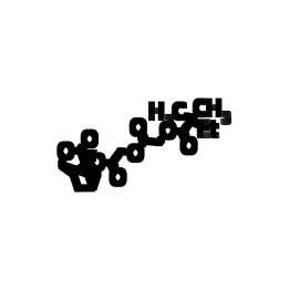 CCC(C)(C)C(=O)OCC(=O)OCC(=O)OC1C2CC3C1OC(=O)C3(F)C2